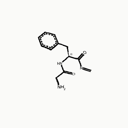 C=NC(=O)[C@H](Cc1ccccc1)NC(=O)CN